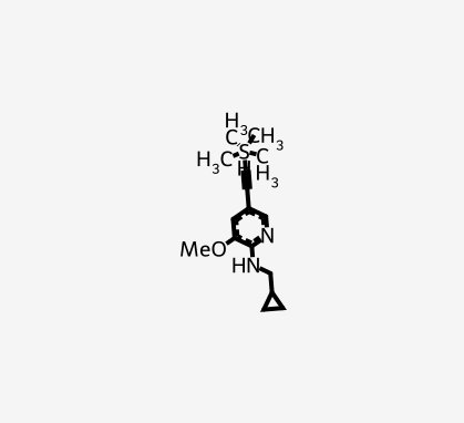 COc1cc(C#C[SH](C)(C)(C)C)cnc1NCC1CC1